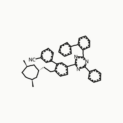 C[C@@H]1CC[C@H](C)C[C@@H](CCc2ccc(-c3nc(-c4ccccc4)nc(-c4ccccc4-c4ccccc4)n3)cc2-c2cccc(C#N)c2)C1